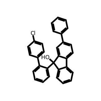 OC1(c2ccccc2-c2ccc(Cl)cc2)c2ccccc2-c2ccc(-c3ccccc3)cc21